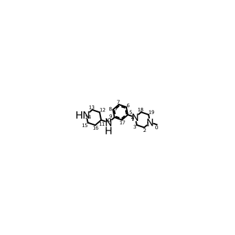 CN1CCN(c2cc[c]c(NC3CCNCC3)c2)CC1